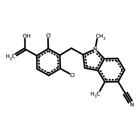 C=C(O)c1ccc(Cl)c(Cc2cc3c(C)c(C#N)ccc3n2C)c1Cl